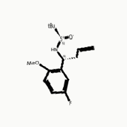 C=CC[C@@H](N[S@+]([O-])C(C)(C)C)c1cc(F)ccc1OC